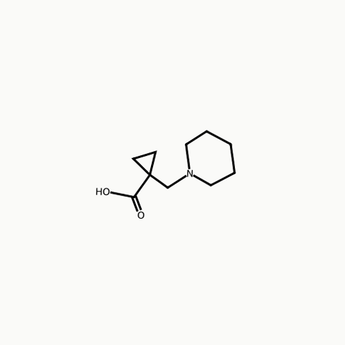 O=C(O)C1(CN2CCCCC2)CC1